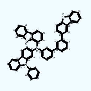 c1ccc(-n2c3ccccc3c3ccc(N(c4cccc(-c5cccc(-c6ccc7sc8ccccc8c7c6)c5)c4)c4cccc5c4sc4ccccc45)cc32)cc1